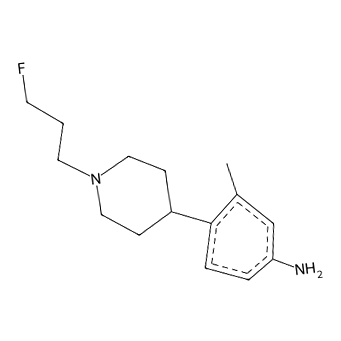 Cc1cc(N)ccc1C1CCN(CCCF)CC1